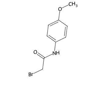 COc1ccc(NC(=O)CBr)cc1